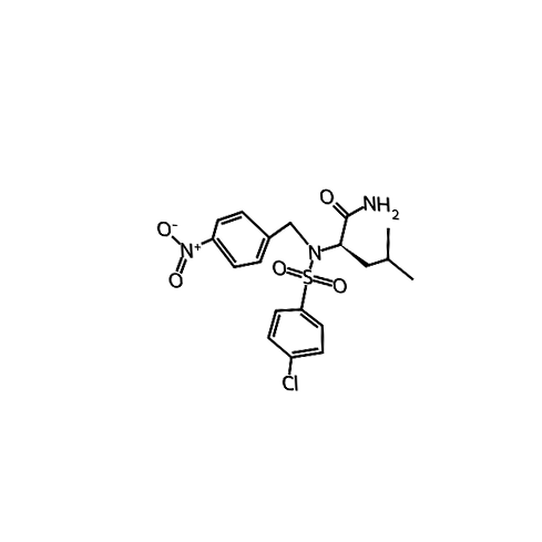 CC(C)C[C@H](C(N)=O)N(Cc1ccc([N+](=O)[O-])cc1)S(=O)(=O)c1ccc(Cl)cc1